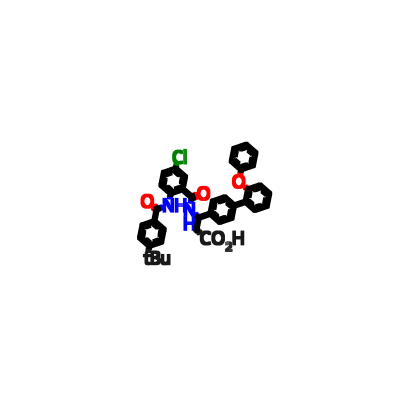 CC(C)(C)c1ccc(C(=O)Nc2ccc(Cl)cc2C(=O)NC(CC(=O)O)c2ccc(-c3ccccc3Oc3ccccc3)cc2)cc1